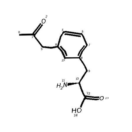 CC(=O)Cc1cccc(C[C@H](N)C(=O)O)c1